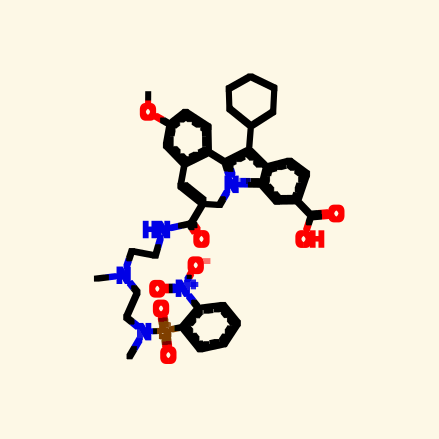 COc1ccc2c(c1)C=C(C(=O)NCCN(C)CCN(C)S(=O)(=O)c1ccccc1[N+](=O)[O-])Cn1c-2c(C2CCCCC2)c2ccc(C(=O)O)cc21